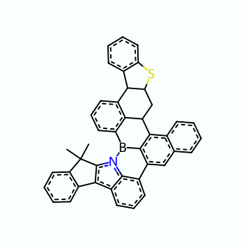 CC1(C)c2ccccc2-c2c1n1c3c(cccc23)-c2cc3ccccc3c3c2B1c1cccc2c1C3CC1Sc3ccccc3C21